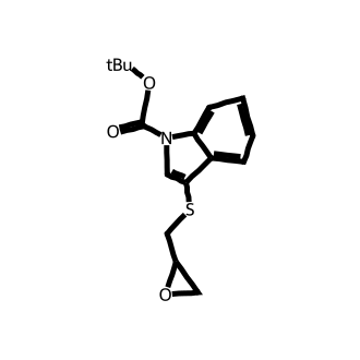 CC(C)(C)OC(=O)n1cc(SCC2CO2)c2ccccc21